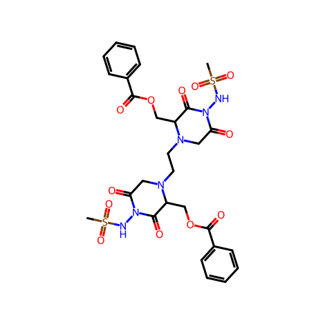 CS(=O)(=O)NN1C(=O)CN(CCN2CC(=O)N(NS(C)(=O)=O)C(=O)C2COC(=O)c2ccccc2)C(COC(=O)c2ccccc2)C1=O